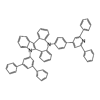 c1ccc(-c2cc(-c3ccccc3)cc(-n3c4c(c5ccccc53)-c3ccccc3N(c3ccc(-c5cc(-c6ccccc6)nc(-c6ccccc6)c5)cc3)c3ccccc3-4)c2)cc1